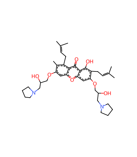 CC(C)=CCc1c(OCC(O)CN2CCCC2)cc2oc3cc(OCC(O)CN4CCCC4)c(C)c(CC=C(C)C)c3c(=O)c2c1O